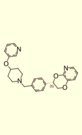 c1cncc(OC2CCN(Cc3ccc([C@H]4COc5cccnc5O4)cc3)CC2)c1